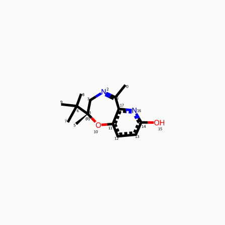 CC1=NC[C@@](C)(C(C)(C)C)Oc2ccc(O)nc21